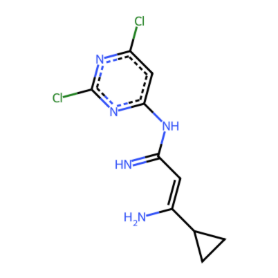 N=C(/C=C(\N)C1CC1)Nc1cc(Cl)nc(Cl)n1